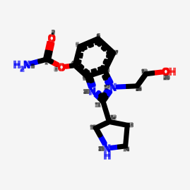 NC(=O)Oc1cccc2c1nc(C1CCNC1)n2CCO